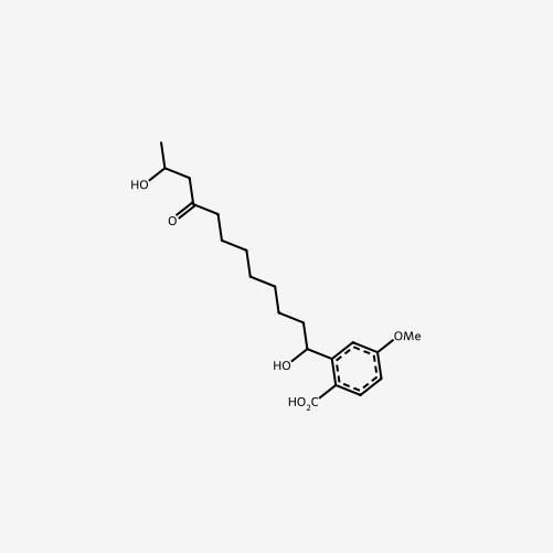 COc1ccc(C(=O)O)c(C(O)CCCCCCCC(=O)CC(C)O)c1